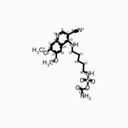 COc1cc2ncc(C#N)c(NCCCCCNS(=O)(=O)OC(N)=O)c2cc1OC